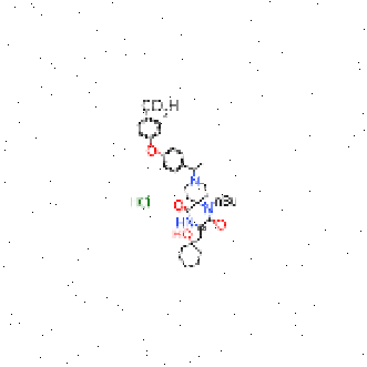 CCCCN1C(=O)[C@@H](CC2(O)CCCCC2)NC(=O)C12CCN(C(C)c1ccc(Oc3ccc(C(=O)O)cc3)cc1)CC2.Cl